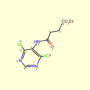 CCOC(=O)CCC(=O)Nc1c(Cl)ncnc1Cl